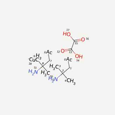 CC(=O)CC(C)(C)N.CC(=O)CC(C)(C)N.O=C(O)C(=O)O.[Cu]